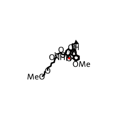 COCCOCCCCC(=O)N[C@@H](C)C(=O)OC1=CC[C@@]2(O)[C@H]3Cc4ccc(OC)c5c4[C@@]2(CCN3CC2CC2)[C@H]1O5